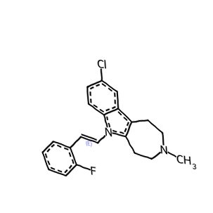 CN1CCc2c(n(/C=C/c3ccccc3F)c3ccc(Cl)cc23)CC1